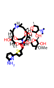 CC[C@H]1OC(=O)[C@H](C)[C@@H](O[C@H]2C[C@@](C)(OC)[C@@H](O)[C@H](C)O2)[C@H](C)[C@@H](O[C@@H]2O[C@H](C)C[C@H](N(C)C)[C@H]2O)[C@@]2(C)C[C@@H](C)N(C)C[C@H](C)[C@@H](OC/C(=N\OCc3ccc(-c4cccc(N)n4)s3)CO2)[C@]1(C)O